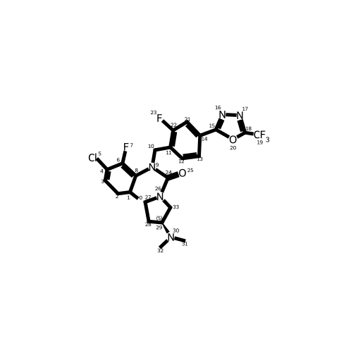 CC1CC=C(Cl)C(F)=C1N(Cc1ccc(-c2nnc(C(F)(F)F)o2)cc1F)C(=O)N1CC[C@H](N(C)C)C1